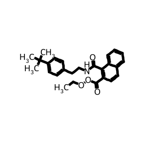 CCOOC(=O)c1ccc2ccccc2c1C(=O)NCCc1ccc(C(C)(C)C)cc1